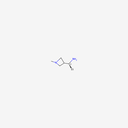 CC[C@H](N)C1CN(C)C1